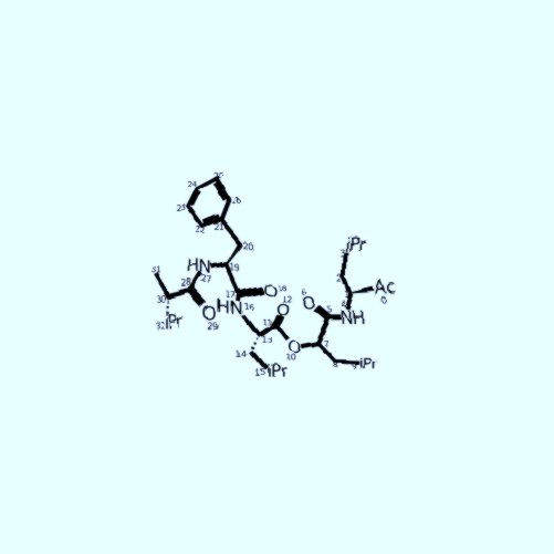 CC(=O)[C@H](CC(C)C)NC(=O)C(CC(C)C)OC(=O)[C@H](CC(C)C)NC(=O)[C@H](Cc1ccccc1)NC(=O)[C@@H](C)C(C)C